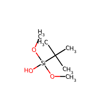 CO[Si](O)(OC)C(C)(C)C